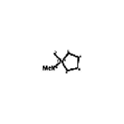 CN[N+]1(C)CCCC1